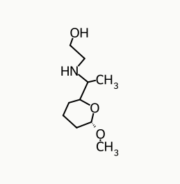 CO[C@@H]1CCCC(C(C)NCCO)O1